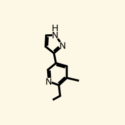 CCc1ncc(-c2cc[nH]n2)cc1C